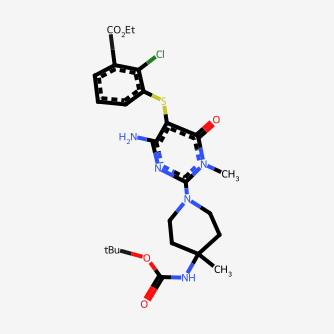 CCOC(=O)c1cccc(Sc2c(N)nc(N3CCC(C)(NC(=O)OC(C)(C)C)CC3)n(C)c2=O)c1Cl